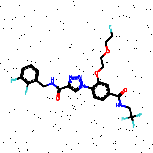 O=C(NCC(F)(F)F)c1ccc(-n2cc(C(=O)NCc3cccc(F)c3F)nn2)c(OCCOCCF)c1